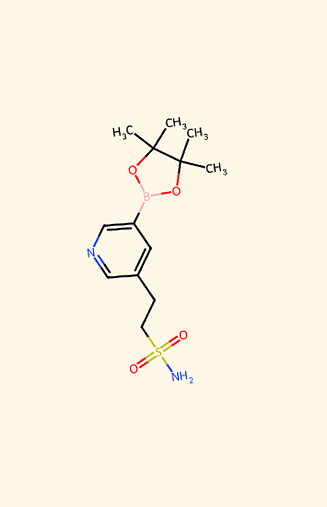 CC1(C)OB(c2cncc(CCS(N)(=O)=O)c2)OC1(C)C